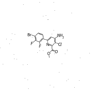 COC(=O)c1nc(-c2ccc(Br)c(F)c2F)cc(N)c1Cl